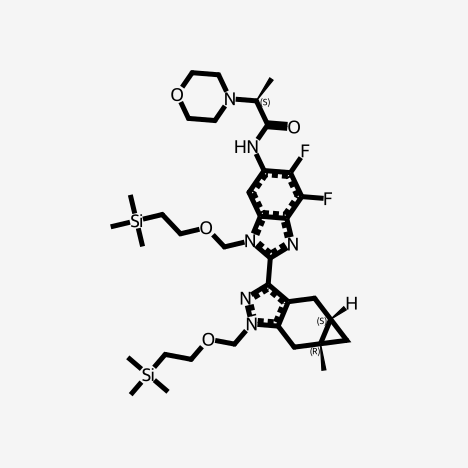 C[C@@H](C(=O)Nc1cc2c(nc(-c3nn(COCC[Si](C)(C)C)c4c3C[C@@H]3C[C@]3(C)C4)n2COCC[Si](C)(C)C)c(F)c1F)N1CCOCC1